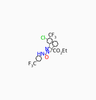 CCOC(=O)C1(c2ccccc2)CN(C(=O)Nc2ccc(C(F)(F)F)cc2)N=C1c1ccc(C(F)(F)F)c(Cl)c1